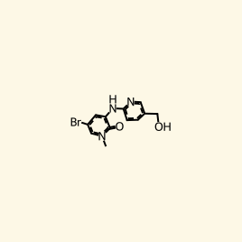 Cn1cc(Br)cc(Nc2ccc(CO)cn2)c1=O